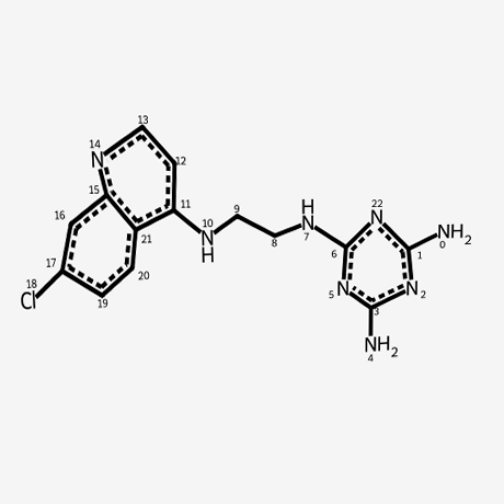 Nc1nc(N)nc(NCCNc2ccnc3cc(Cl)ccc23)n1